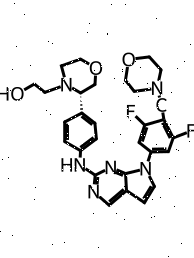 OCCN1CCOC[C@@H]1c1ccc(Nc2ncc3ccn(-c4cc(F)c(CN5CCOCC5)c(F)c4)c3n2)cc1